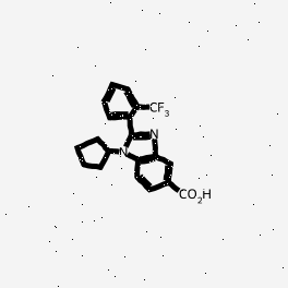 O=C(O)c1ccc2c(c1)nc(-c1ccccc1C(F)(F)F)n2C1CCCC1